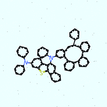 c1ccc(-c2cc3ccc(N(c4ccccc4)c4cc5ccccc5c5sc6cc(N(c7ccccc7)c7ccccc7)ccc6c45)cc3c3ccccc3c3ccccc3c3ccccc23)cc1